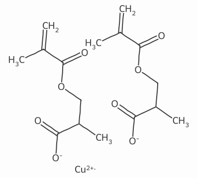 C=C(C)C(=O)OCC(C)C(=O)[O-].C=C(C)C(=O)OCC(C)C(=O)[O-].[Cu+2]